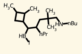 CCCCNCC(C)(C)CC(CCC)C(BI)C1CC(C)C1C